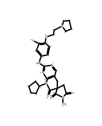 CN1C(=O)CC2(Cc3cnc(Nc4ccc(OCCN5CCCC5)c(F)c4)nc3N(C3CCCC3)C2=O)C1=O